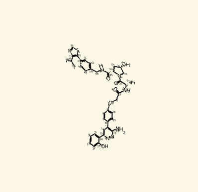 CC(C)[C@H](NC(=O)COc1ccc(-c2cc(-c3ccccc3O)nnc2N)cc1)C(=O)N1C[C@H](O)C[C@H]1C(=O)NCc1ccc(-c2scnc2C(F)F)cc1